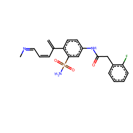 C=C(/C=C\C=N/C)c1ccc(NC(=O)Cc2ccccc2F)cc1S(N)(=O)=O